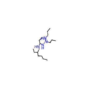 CCCCC(CC)CNC(CC)NN(CCC)NCCC